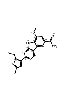 CCn1nc(C)cc1-c1ncc2c(n1)[nH]c1c(OC)cc(C(N)=O)cc12